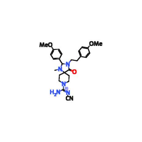 COc1ccc(CCN2C(=O)C3(CCN(/C(N)=N/C#N)CC3)N(C)C2c2ccc(OC)cc2)cc1